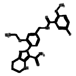 CCOc1cc(CNC(=O)c2cc(F)ccc2OC)ccc1-n1nc2c(c1C(N)=O)NCCC2